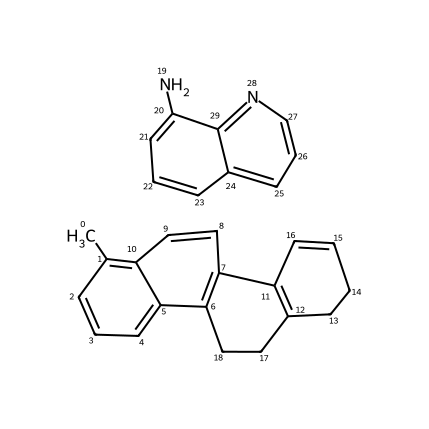 Cc1cccc2c3c(ccc12)C1=C(CCC=C1)CC3.Nc1cccc2cccnc12